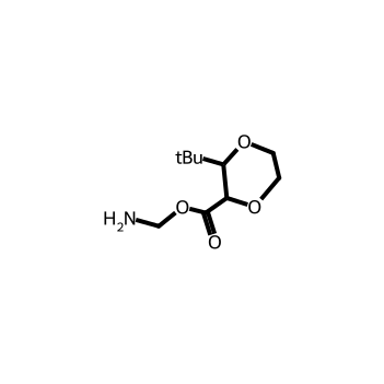 CC(C)(C)C1OCCOC1C(=O)OCN